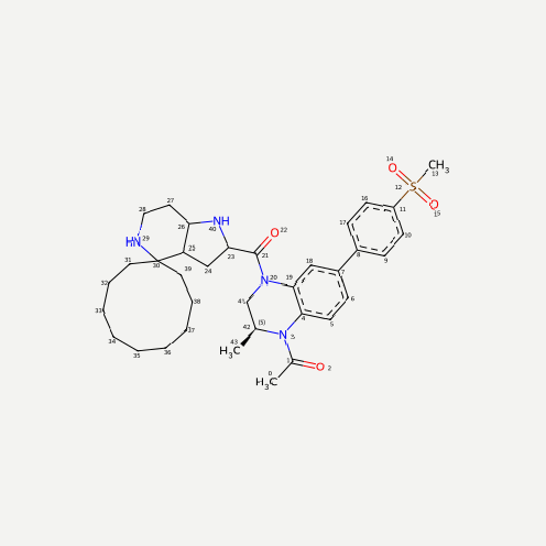 CC(=O)N1c2ccc(-c3ccc(S(C)(=O)=O)cc3)cc2N(C(=O)C2CC3C(CCNC34CCCCCCCCC4)N2)C[C@@H]1C